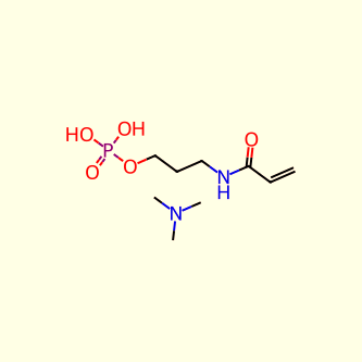 C=CC(=O)NCCCOP(=O)(O)O.CN(C)C